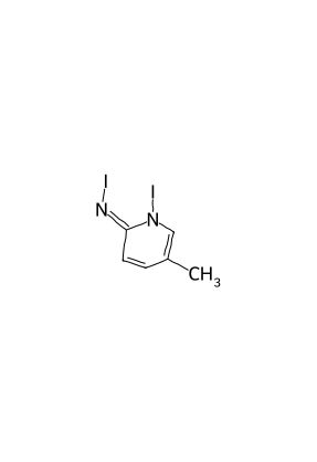 Cc1cc/c(=N/I)n(I)c1